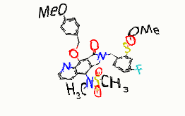 COOSc1cc(F)ccc1CN1Cc2c(c(OCc3ccc(OC)cc3)c3ncccc3c2N(C)S(C)(=O)=O)C1=O